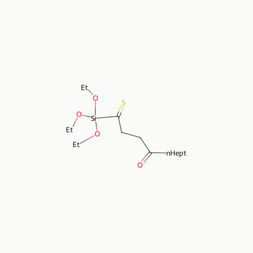 CCCCCCCC(=O)CCC(=S)[Si](OCC)(OCC)OCC